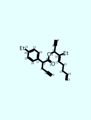 C#CCC(C(=O)OC(C#C)C(=CCCC=C)CC)c1ccc(CC)cc1